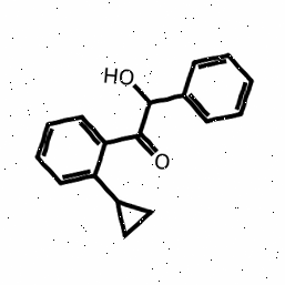 O=C(c1ccccc1C1CC1)C(O)c1ccccc1